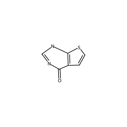 O=C1N=C[N]c2sccc21